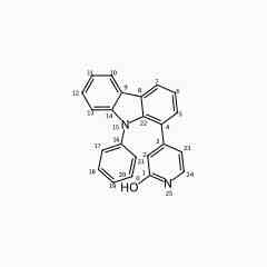 Oc1cc(-c2cccc3c4ccccc4n(-c4ccccc4)c23)ccn1